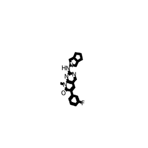 Cn1c(=O)c(-c2cccc(F)c2)cc2cnc(NN3CC4CCCC4C3)nc21